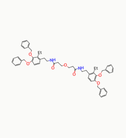 CCc1c(CCNC(=O)CCOCCC(=O)NCCc2ccc(OCc3ccccc3)c(OCc3ccccc3)c2CC)ccc(OCc2ccccc2)c1OCc1ccccc1